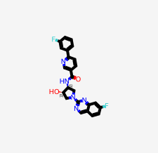 O=C(N[C@H]1CN(c2ncc3ccc(F)cc3n2)C[C@@H]1O)c1ccc(-c2cccc(F)c2)nc1